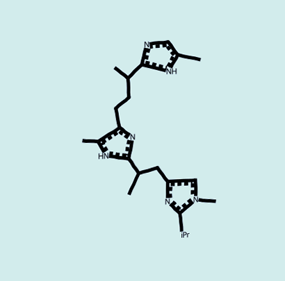 Cc1cnc(C(C)CCc2nc(C(C)Cc3cn(C)c(C(C)C)n3)[nH]c2C)[nH]1